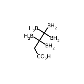 BC(B)(B)C(B)(B)CC(=O)O